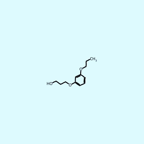 CCCOc1cccc(OCCCO)c1